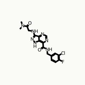 CN(C)C(=O)CNc1n[nH]c2c(C(=O)NCc3ccc(F)c(Cl)c3)ncnc12